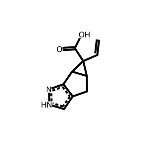 C=CC1(C(=O)O)C2Cc3c[nH]nc3C21